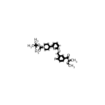 CON(C)C(=O)c1ccc(F)c(COc2cccc(C3CCN(C(=O)OC(C)(C)C)CC3)n2)c1